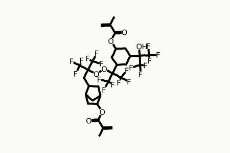 C=C(C)C(=O)OC1CC(C(O)(C(F)(F)F)C(F)(F)F)CC(C(OOC(CC2CC3CC2CC3OC(=O)C(=C)C)(C(F)(F)F)C(F)(F)F)(C(F)(F)F)C(F)(F)F)C1